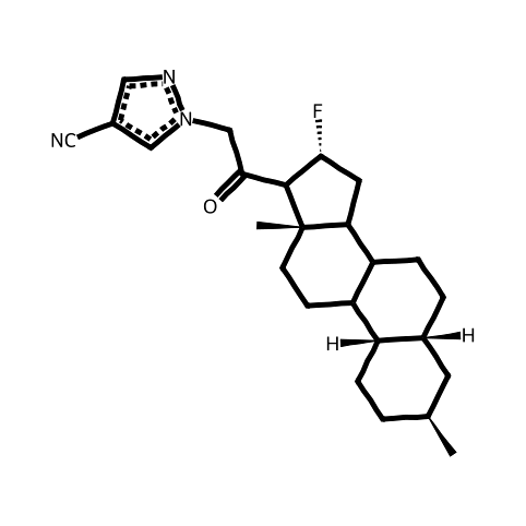 C[C@H]1CC[C@@H]2C3CC[C@@]4(C)C(C[C@@H](F)C4C(=O)Cn4cc(C#N)cn4)C3CC[C@@H]2C1